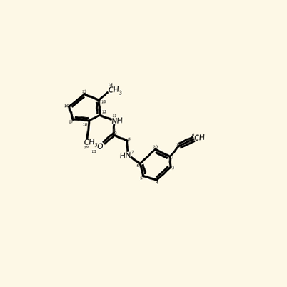 C#Cc1cccc(NCC(=O)Nc2c(C)cccc2C)c1